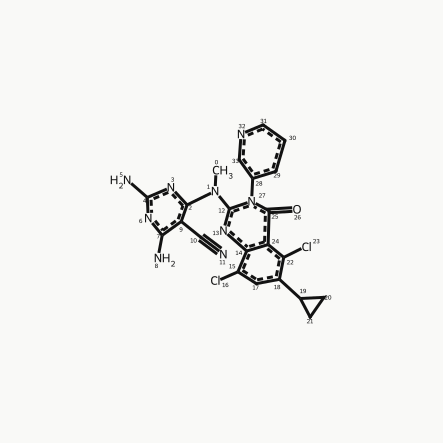 CN(c1nc(N)nc(N)c1C#N)c1nc2c(Cl)cc(C3CC3)c(Cl)c2c(=O)n1-c1cccnc1